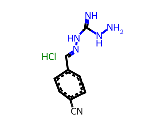 Cl.N#Cc1ccc(C=NNC(=N)NN)cc1